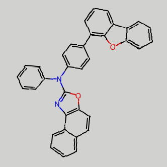 c1ccc(N(c2ccc(-c3cccc4c3oc3ccccc34)cc2)c2nc3c(ccc4ccccc43)o2)cc1